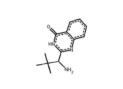 CC(C)(C)C(N)c1nc2ccccc2c(=O)[nH]1